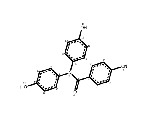 N#Cc1ccc(C(=O)N(c2ccc(O)cc2)c2ccc(O)cc2)cc1